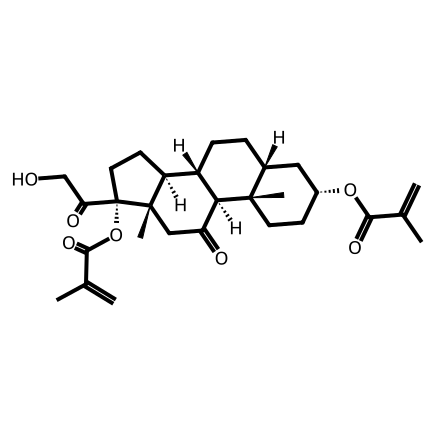 C=C(C)C(=O)O[C@@H]1CC[C@@]2(C)[C@H](CC[C@@H]3[C@@H]2C(=O)C[C@@]2(C)[C@H]3CC[C@]2(OC(=O)C(=C)C)C(=O)CO)C1